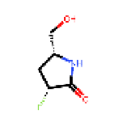 O=C1N[C@@H](CO)C[C@H]1F